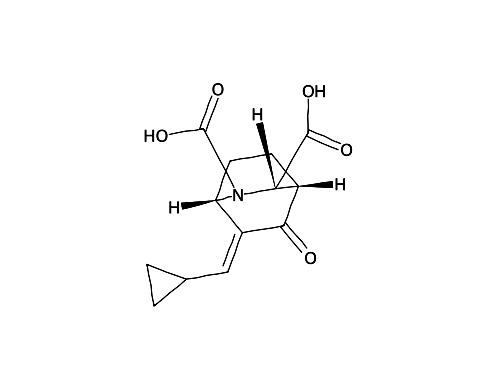 O=C1/C(=C/C2CC2)[C@@H]2CC[C@H]1[C@@H](C(=O)O)N2C(=O)O